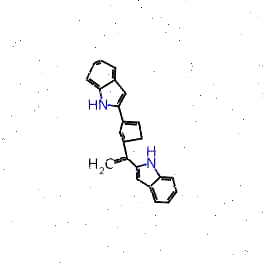 C=C(C1=CC(c2cc3ccccc3[nH]2)=CC1)c1cc2ccccc2[nH]1